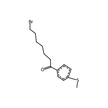 CSc1ccc(C(=O)CCCCCCBr)cc1